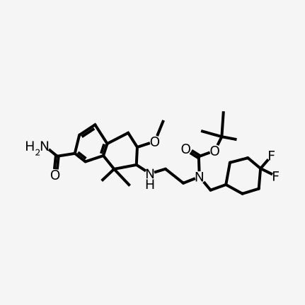 COC1Cc2ccc(C(N)=O)cc2C(C)(C)C1NCCN(CC1CCC(F)(F)CC1)C(=O)OC(C)(C)C